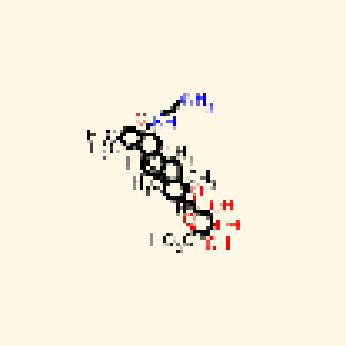 CC1(C)CC[C@]2(C(=O)NCCCN)CC[C@]3(C)C(=CCC4[C@@]5(C)CC[C@@H]6[C@H]([C@@H]7OC(C(=O)O)[C@@H](O)C(O)C7O)O[C@@]6(C)C5CC[C@]43C)C2C1